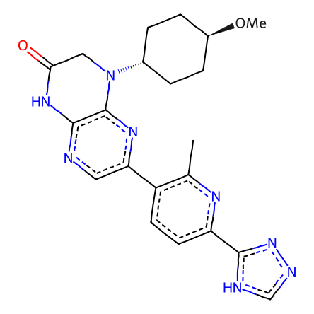 CO[C@H]1CC[C@H](N2CC(=O)Nc3ncc(-c4ccc(-c5nnc[nH]5)nc4C)nc32)CC1